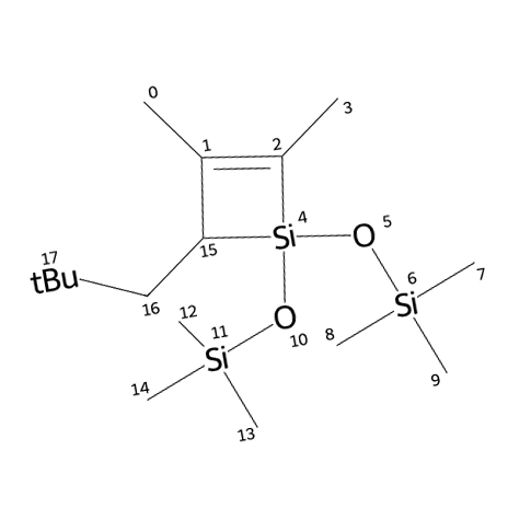 CC1=C(C)[Si](O[Si](C)(C)C)(O[Si](C)(C)C)C1CC(C)(C)C